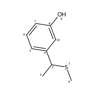 CSC(C)c1cccc(O)c1